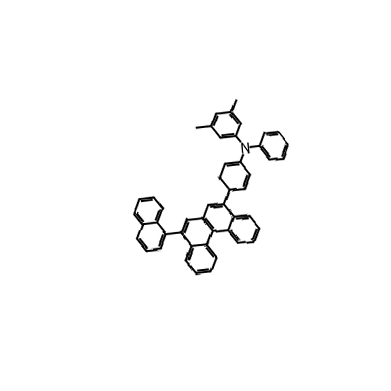 Cc1cc(C)cc(N(C2=CCC(c3cc4cc(-c5cccc6ccccc56)c5ccccc5c4c4ccccc34)C=C2)c2ccccc2)c1